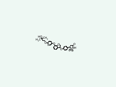 CC(C)(O)CCOc1ccc(Oc2cccc3c2OC[C@H]3Oc2ccc(N3CC(=O)NS3(=O)=O)cc2)cn1